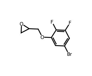 Fc1cc(Br)cc(OCC2CO2)c1F